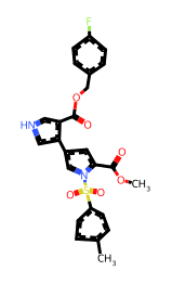 COC(=O)c1cc(-c2c[nH]cc2C(=O)OCc2ccc(F)cc2)cn1S(=O)(=O)c1ccc(C)cc1